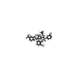 C[C@]1(C(=O)Nc2cccc(Cl)c2)[C@@H](c2cccc(Cl)c2F)[C@H]2[C@H](COc3c4cc(C(=O)O)cnc4nn32)N1CC1CC1